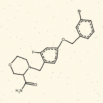 NC(=O)C1COCCN1Cc1ccc(OCc2cccc(Br)c2)cc1F